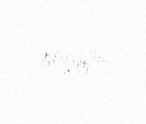 COc1ccnc(C(=O)N[C@H]2COC[C@H](Cc3ccccc3)[C@@H](OC(=O)c3ccccc3)[C@H](C)OC2=O)c1OCOC(C)=O